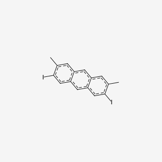 Cc1cc2cc3cc(C)c(I)cc3cc2cc1I